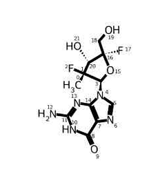 C[C@]1(F)[C@H](n2cnc3c(=O)[nH]c(N)nc32)O[C@](F)(CO)[C@H]1O